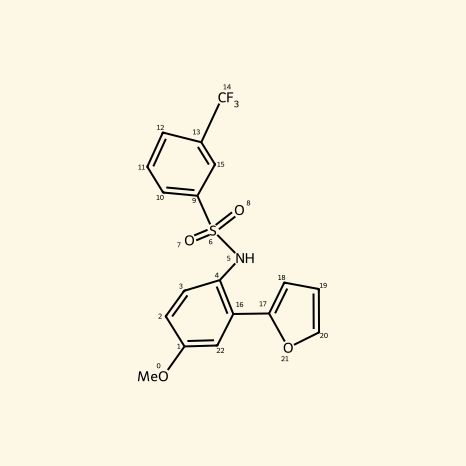 COc1ccc(NS(=O)(=O)c2cccc(C(F)(F)F)c2)c(-c2ccco2)c1